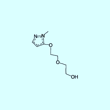 Cn1nccc1OCCOCCO